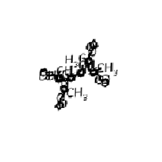 Cc1cc(N(c2ccc(COC3CCCCO3)c(C)c2)c2ccc(-c3ccc(N(c4ccc(COC5CCCCO5)c(C)c4)c4ccc(COC5CCCCO5)c(C)c4)c(C)c3)cc2C)ccc1COC1CCCCO1